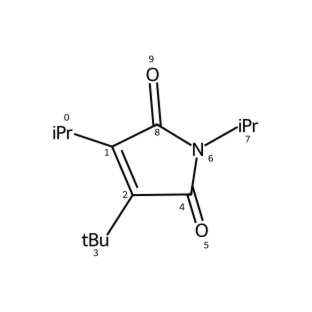 CC(C)C1=C(C(C)(C)C)C(=O)N(C(C)C)C1=O